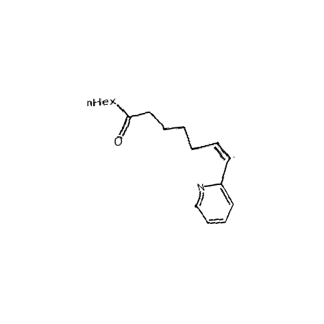 CCCCCCC(=O)CCCC/C=[C]\c1ccccn1